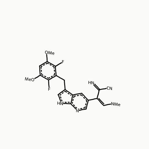 CN/C=C(\C(=N)C#N)c1cnc2[nH]cc(Cc3c(F)c(OC)cc(OC)c3F)c2c1